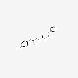 C[C@@H](Cc1ccsc1)NC(=O)NC[C@@H](N)Cc1ccc(O)cc1